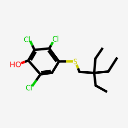 CCC(CC)(CC)CSc1cc(Cl)c(O)c(Cl)c1Cl